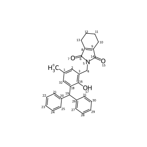 Cc1cc(CN2C(=O)C3=C(CCCC3)C2=O)c(O)c(C(c2ccccc2)c2ccccc2)c1